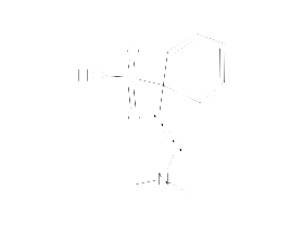 CN(C)N=NC1(S(=O)(=O)O)C=CC=CC1